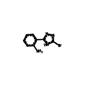 Nc1ccccc1-c1nnc(Br)[nH]1